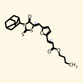 CCCCOC(=O)/C=C/c1ccc(/C=C2\SC(=S)N(C3C4CC5CC(C4)CC3C5)C2=O)o1